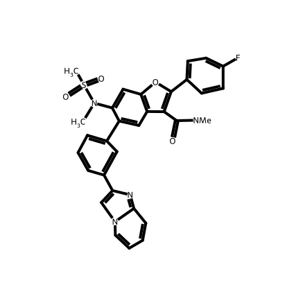 CNC(=O)c1c(-c2ccc(F)cc2)oc2cc(N(C)S(C)(=O)=O)c(-c3cccc(-c4cn5ccccc5n4)c3)cc12